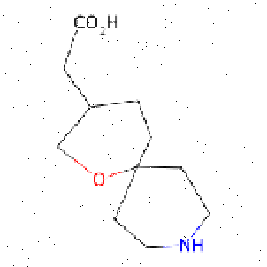 O=C(O)CC1CCC2(CCNCC2)OC1